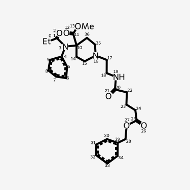 CCC(=O)N(c1ccccc1)C1(C(=O)OC)CCN(CCNC(=O)CCCC(=O)OCc2ccccc2)CC1